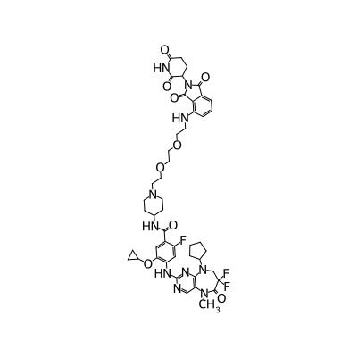 CN1C(=O)C(F)(F)CN(C2CCCC2)c2nc(Nc3cc(F)c(C(=O)NC4CCN(CCOCCOCCNc5cccc6c5C(=O)N(C5CCC(=O)NC5=O)C6=O)CC4)cc3OC3CC3)ncc21